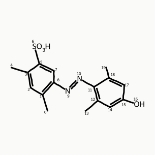 Cc1cc(C)c(S(=O)(=O)O)cc1/N=N/c1c(C)cc(O)cc1C